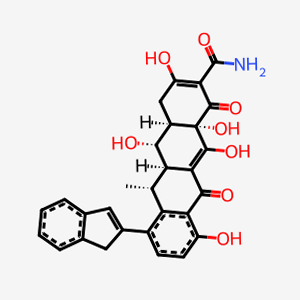 C[C@H]1c2c(C3=Cc4ccccc4C3)ccc(O)c2C(=O)C2=C(O)[C@]3(O)C(=O)C(C(N)=O)=C(O)C[C@@H]3[C@@H](O)[C@@H]21